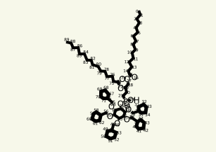 CCCCCCCCCCCCCCCC(=O)OCC(CCP(=O)(O)O[C@@H]1[C@@H](OCc2ccccc2)[C@H](OCc2ccccc2)[C@@H](OCc2ccccc2)[C@H](OCc2ccccc2)[C@@H]1OCc1ccccc1)OC(=O)CCCCCCCCCCCCCCC